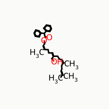 CC(C)=CCCC(C)=CCCC(=CCCC(C)=CCOC(=O)C(c1ccccc1)c1ccccc1)CO